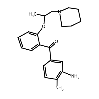 CC(CN1CCCCC1)Oc1ccccc1C(=O)c1ccc(N)c(N)c1